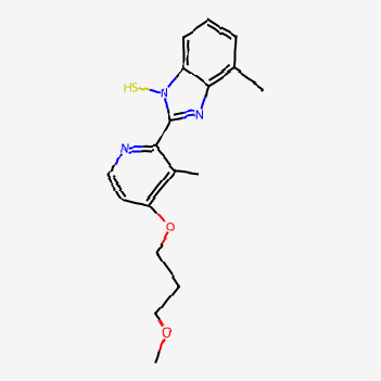 COCCCOc1ccnc(-c2nc3c(C)cccc3n2S)c1C